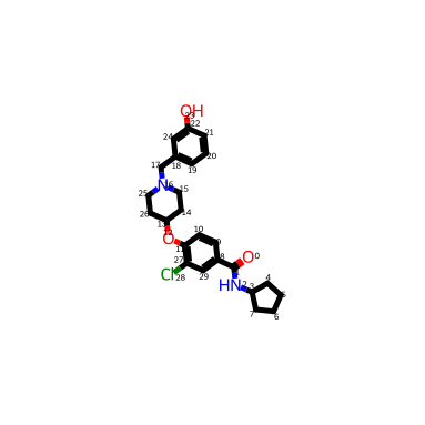 O=C(NC1CCCC1)c1ccc(OC2CCN(Cc3cccc(O)c3)CC2)c(Cl)c1